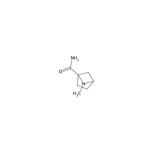 CN1C2CCC1(C(N)=O)C2